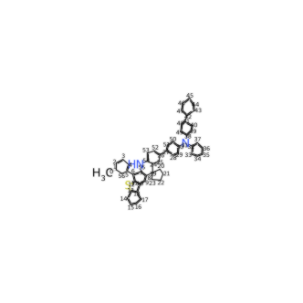 C[C@@H]1C=CC=C(c2c3c(cc4c2sc2ccccc24)C2(CCCC2)C2CC(c4ccc(N(c5ccccc5)c5ccc(-c6ccccc6)cc5)cc4)=CC=C2N3)C1